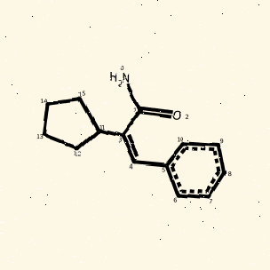 NC(=O)C(=Cc1ccccc1)C1CCCC1